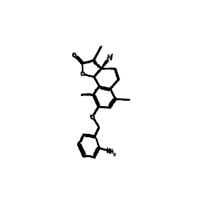 Cc1cc(OCc2ccccc2N)c(C)c2c1CC[C@H]1C(C)C(=O)OC21